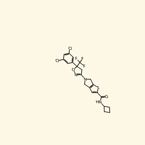 O=C(NC1CCC1)c1cc2c(s1)CN(C1=NOC(c3cc(Cl)cc(Cl)c3)(C(F)(F)F)C1)C2